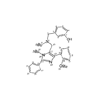 CCCCN(Cc1cccc(O)c1)Cc1c(-c2ccccc2OC)nc(-c2ccccc2)n1CCCC